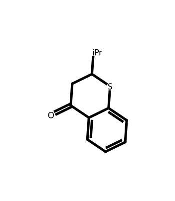 CC(C)C1CC(=O)c2ccccc2S1